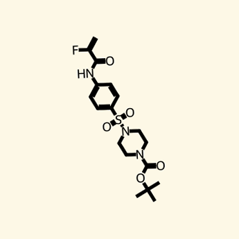 C=C(F)C(=O)Nc1ccc(S(=O)(=O)N2CCN(C(=O)OC(C)(C)C)CC2)cc1